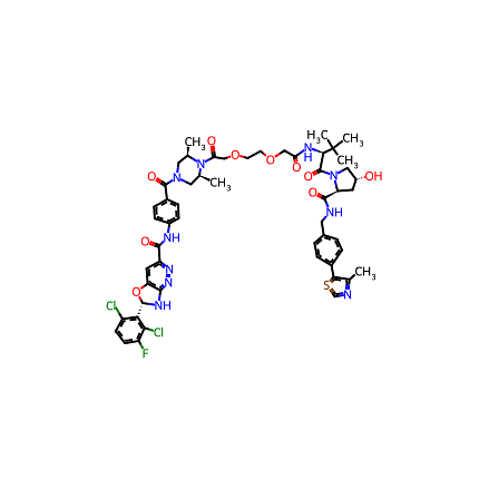 Cc1ncsc1-c1ccc(CNC(=O)[C@@H]2C[C@@H](O)CN2C(=O)[C@@H](NC(=O)COCCOCC(=O)N2[C@H](C)CN(C(=O)c3ccc(NC(=O)c4cc5c(nn4)N[C@H](c4c(Cl)ccc(F)c4Cl)O5)cc3)C[C@@H]2C)C(C)(C)C)cc1